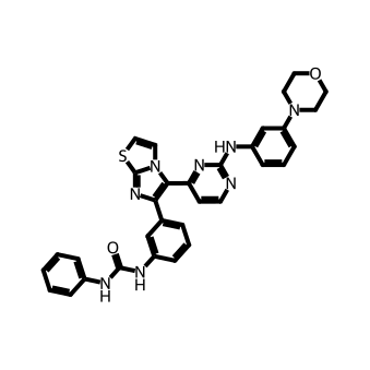 O=C(Nc1ccccc1)Nc1cccc(-c2nc3sccn3c2-c2ccnc(Nc3cccc(N4CCOCC4)c3)n2)c1